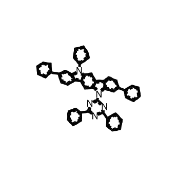 c1ccc(-c2ccc3c4cc5c(cc4n(-c4ccccc4)c3c2)c2ccc(-c3ccccc3)cc2n5-c2nc(-c3ccccc3)nc(-c3ccccc3)n2)cc1